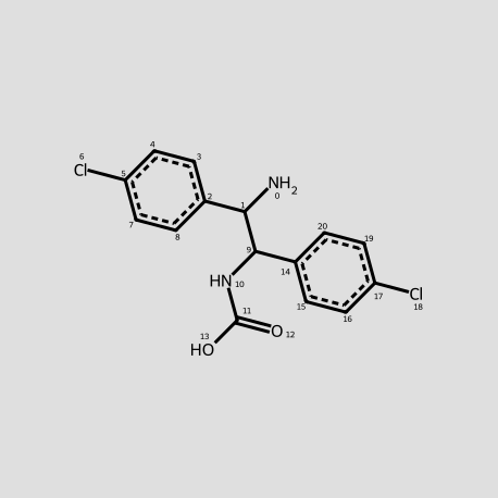 NC(c1ccc(Cl)cc1)C(NC(=O)O)c1ccc(Cl)cc1